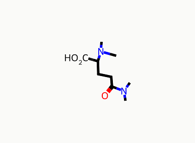 CN(C)C(=O)CCC(C(=O)O)N(C)C